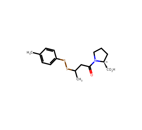 Cc1ccc(SSC(C)CC(=O)N2CCC[C@H]2C(=O)O)cc1